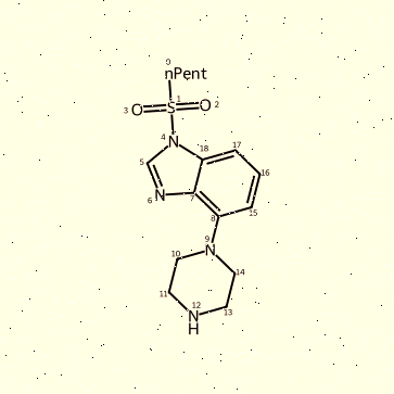 CCCCCS(=O)(=O)n1cnc2c(N3CCNCC3)cccc21